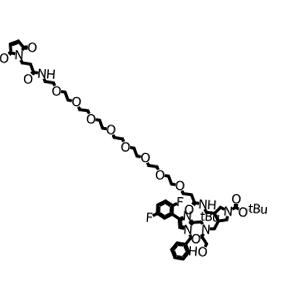 CC(C)(C)OC(=O)N1CC(CNC(=O)CCOCCOCCOCCOCCOCCOCCOCCOCCNC(=O)CCN2C(=O)C=CC2=O)C(CN(C(=O)CO)[C@@H](c2nc(-c3cc(F)ccc3F)cn2Cc2ccccc2)C(C)(C)C)C1